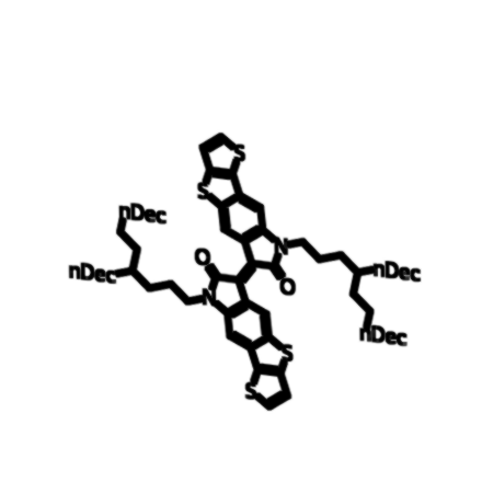 CCCCCCCCCCCCC(CCCCCCCCCC)CCCN1C(=O)/C(=C2/C(=O)N(CCCC(CCCCCCCCCC)CCCCCCCCCCCC)c3cc4c(cc32)sc2ccsc24)c2cc3sc4ccsc4c3cc21